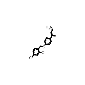 CC(=CCN)c1ccc(SCc2ccc(Cl)cc2Cl)cc1